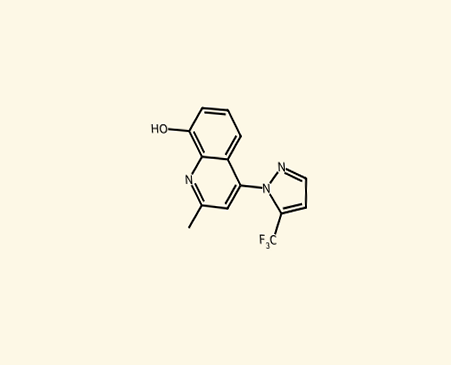 Cc1cc(-n2nccc2C(F)(F)F)c2cccc(O)c2n1